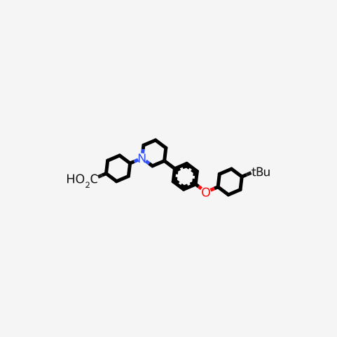 CC(C)(C)C1CCC(Oc2ccc(C3CCCN(C4CCC(C(=O)O)CC4)C3)cc2)CC1